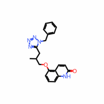 CC(COc1cccc2[nH]c(=O)ccc12)Cc1nnnn1Cc1ccccc1